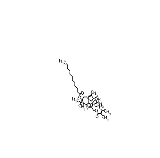 CCCCCCCCCCCC(=O)OC12CCC34C=C(C)[C@H](O)[C@@]3(C)[C@H](O)C(COC(=O)C(C)=C(C)C)=C[C@H](C4=O)[C@@H]1C2(C)C